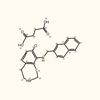 Clc1ccc2c(c1NCc1ccc3ccccc3c1)CCNCC2.O=C(O)CCC(=O)O